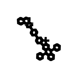 CC1(C)c2cc(-c3ccc(-c4cn5c(ncc6ccccc65)n4)cc3)ccc2-c2cc3c(-c4ccccc4)c4ccccc4c(-c4ccccc4)c3cc21